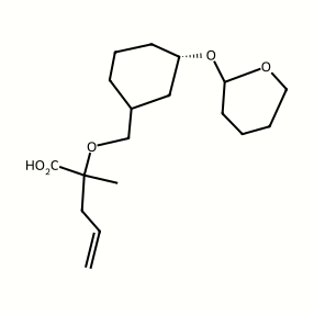 C=CCC(C)(OCC1CCC[C@H](OC2CCCCO2)C1)C(=O)O